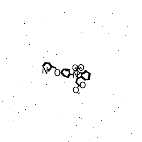 COC(=O)CC1c2ccccc2S(=O)(=O)N1c1ccc(OCc2cccnc2)cc1